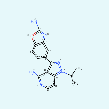 CC(C)n1nc(-c2ccc3oc(N)nc3c2)c2c(N)nccc21